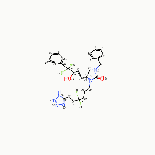 O=C1N(Cc2ccccc2)C[C@H](C=CC(O)C(F)(F)c2ccccc2)N1CCCC(F)(F)CCc1nnn[nH]1